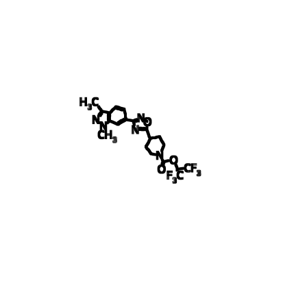 Cc1nn(C)c2cc(-c3noc(C4CCN(C(=O)OC(C(F)(F)F)C(F)(F)F)CC4)n3)ccc12